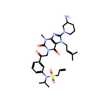 C=CCS(=O)(=O)N(c1cccc(C(=O)Cn2c(=O)c3c(nc(N4CCCC(N)C4)n3CC=C(C)C)n(C)c2=O)c1)C(C)C